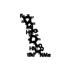 CNC(=O)[C@@H](NC(=O)c1ccc(NC(=O)N2Cc3ccc(F)cc3C2)cc1)C(C)(C)C